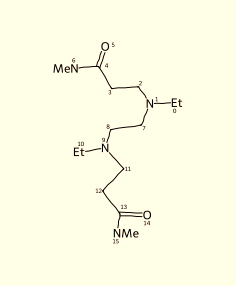 CCN(CCC(=O)NC)CCN(CC)CCC(=O)NC